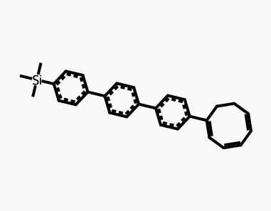 C[Si](C)(C)c1ccc(-c2ccc(-c3ccc(/C4=C/C=C\C=C/CC4)cc3)cc2)cc1